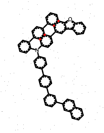 c1ccc(-c2ccc(-c3ccccc3N(c3ccc(-c4ccc(-c5cccc(-c6ccc7ccccc7c6)c5)cc4)cc3)c3ccc(-c4ccc5oc6ccccc6c5c4)cc3)cc2)cc1